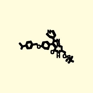 CC(C)c1ccc(COc2ccc(-c3c(-c4ccncc4)nn4c3C(=O)NC(CO[Si](C)(C)C(C)(C)C)C4)cc2)cc1